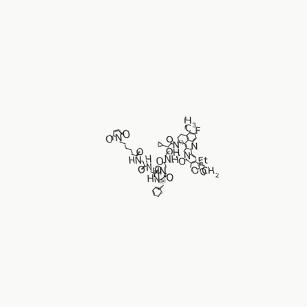 C=C[C@]1(CC)C(=O)OCc2c1cc1n(c2=O)Cc2c-1nc1cc(F)c(C)c3c1c2[C@@H](NC(=O)C(OCNC(=O)CNC(=O)[C@H](Cc1ccccc1)NC(=O)CNC(=O)CNC(=O)CCCCCN1C(=O)C=CC1=O)C1CC1)CC3